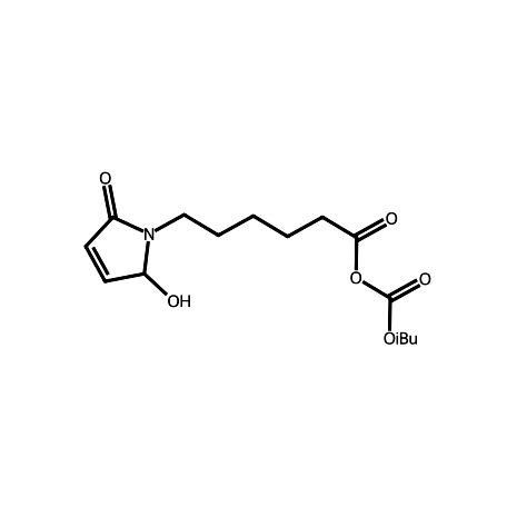 CC(C)COC(=O)OC(=O)CCCCCN1C(=O)C=CC1O